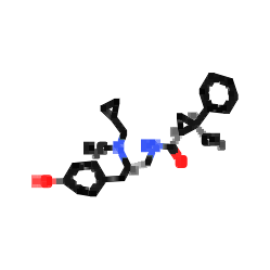 CN(CC1CC1)[C@H](CNC(=O)[C@@H]1C[C@@]1(C)c1ccccc1)Cc1ccc(O)cc1